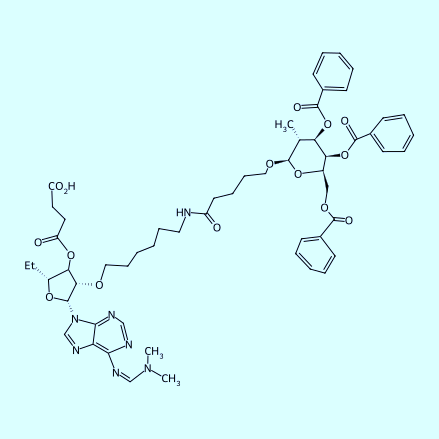 CC[C@H]1O[C@@H](n2cnc3c(/N=C\N(C)C)ncnc32)[C@@H](OCCCCCCNC(=O)CCCCO[C@@H]2O[C@H](COC(=O)c3ccccc3)[C@H](OC(=O)c3ccccc3)[C@H](OC(=O)c3ccccc3)[C@H]2C)C1OC(=O)CCC(=O)O